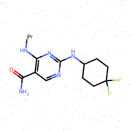 CC(C)Nc1nc(NC2CCC(F)(F)CC2)ncc1C(N)=O